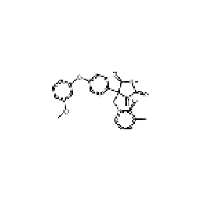 COc1cccc(Oc2ccc(C3(Cn4cccc(C)c4=O)NC(=O)NC3=O)cc2)c1